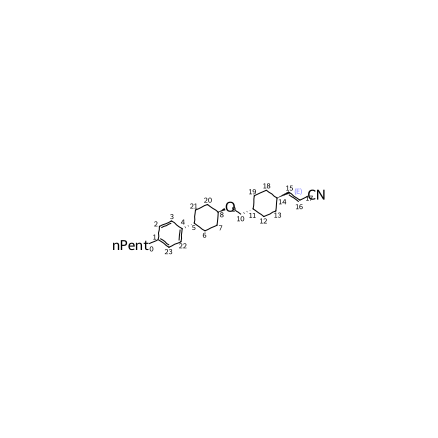 CCCCCc1ccc([C@H]2CC[C@H](OC[C@H]3CC[C@H](/C=C/C#N)CC3)CC2)cc1